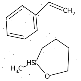 C=Cc1ccccc1.C[SiH]1CCCCO1